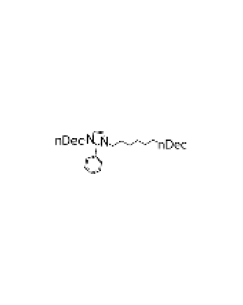 CCCCCCCCCCCCCCCCN1C=CN(CCCCCCCCCC)C1c1ccccc1